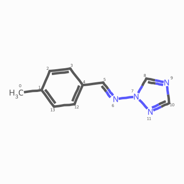 Cc1ccc(C=Nn2cncn2)cc1